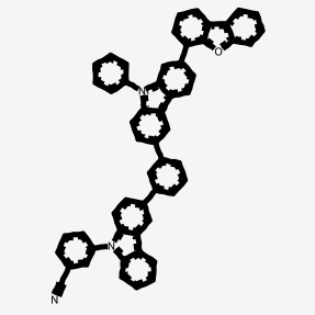 N#Cc1cccc(-n2c3ccccc3c3cc(-c4cccc(-c5ccc6c(c5)c5ccc(-c7cccc8c7oc7ccccc78)cc5n6-c5ccccc5)c4)ccc32)c1